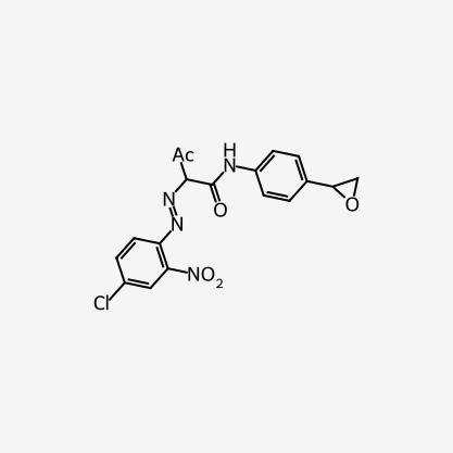 CC(=O)C(/N=N/c1ccc(Cl)cc1[N+](=O)[O-])C(=O)Nc1ccc(C2CO2)cc1